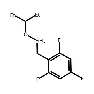 CCC(CC)O[SiH2]Cc1c(F)cc(F)cc1F